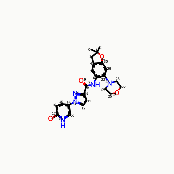 CC1(C)Cc2cc(NC(=O)c3ccn(-c4ccc(=O)[nH]c4)n3)c(N3CCOCC3)cc2O1